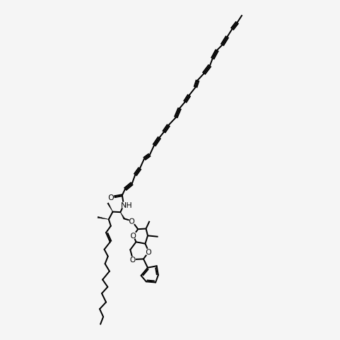 CC#CC#CC#CC#CC#CC#CC#CC#CC#CC#CC#CC#CC(=O)N[C@@H](COC1OC2COC(c3ccccc3)OC2C(C)C1C)[C@H](C)[C@H](C)CC=CCCCCCCCCCCC